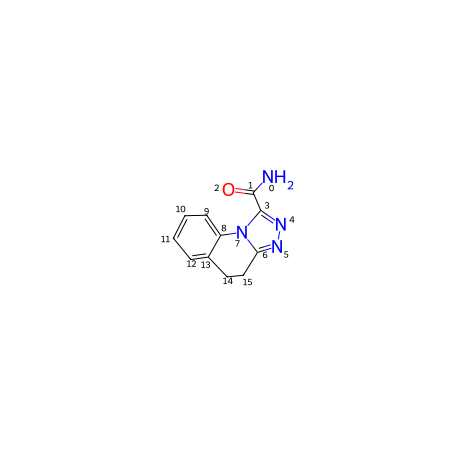 NC(=O)c1nnc2n1-c1ccccc1CC2